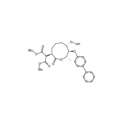 CCCO[C@H]1CCC[C@H](N(C(=O)OC(C)(C)C)C(=O)OC(C)(C)C)C(=O)O[C@@H](C)[C@@H]1Oc1ccc(-c2ccccc2)cc1